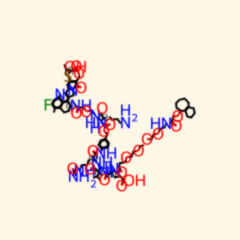 CC[C@]1(O)Sc2cc3n(c(=O)c2COC1=O)Cc1c-3nc2cc(F)c(C)c3c2c1[C@@H](NC(=O)COCNC(=O)[C@H](CCCCN)NC(=O)OCc1ccc(NC(=O)[C@H](CCCNC(N)=O)NC(=O)[C@@H](NC(=O)[C@H](CCC(=O)O)NC(=O)CCOCCOCCOCCOCCNC(=O)COC2CCCCCC4=C2CCCC4)C(C)C)cc1)CC3